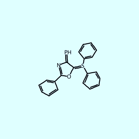 P=C1N=C(c2ccccc2)OC1=S(c1ccccc1)c1ccccc1